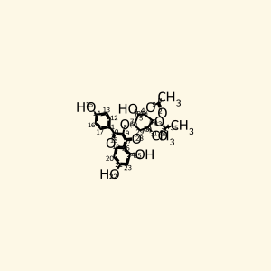 CC(=O)O[C@@H]1[C@H](O)[C@@H](Oc2c(-c3ccc(O)cc3)oc3cc(O)cc(O)c3c2=O)C[C@H](C)[C@H]1OC(C)=O